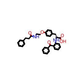 O=C(CCc1ccccc1)NCCOc1ccc(C[C@H](Nc2ccccc2C(=O)c2ccccc2)C(=O)O)cc1